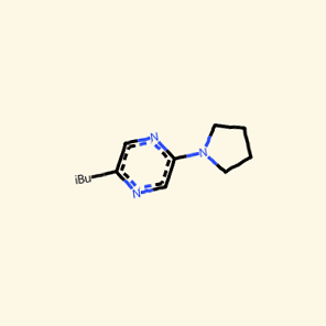 CCC(C)c1cnc(N2CCCC2)cn1